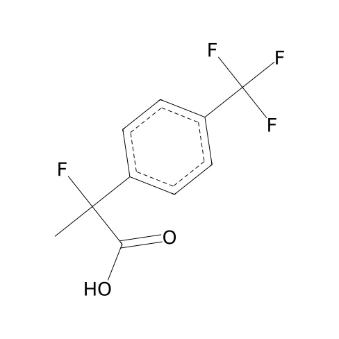 CC(F)(C(=O)O)c1ccc(C(F)(F)F)cc1